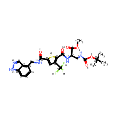 COC(=O)C(CNC(=O)OC(C)(C)C)NC(=O)c1sc(C(=O)NCc2cccc3[nH]ncc23)cc1C(F)(F)F